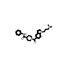 CN(C)CCCn1ccc2cc(C(=O)N3CCC(C(=O)Nc4ccccc4)CC3)ccc21